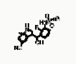 CCCS(=O)(=O)Nc1cccc(C(O)C2CNc3ncc(C#N)cc32)c1F